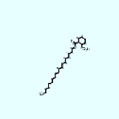 CCC(C)CCCCCCCCCCCCCCCCCCOC(=O)C1CCCCC1C(=O)O